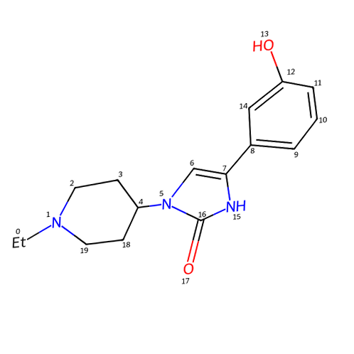 CCN1CCC(n2cc(-c3cccc(O)c3)[nH]c2=O)CC1